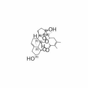 CC1=C(C)C(=O)OC([C@@]2(C)O[C@@]34CC[C@@]2(O)[C@@]3(C)CC[C@H]2[C@H]4CC=C3C[C@@H](O)CC(=O)[C@@]32C)C1